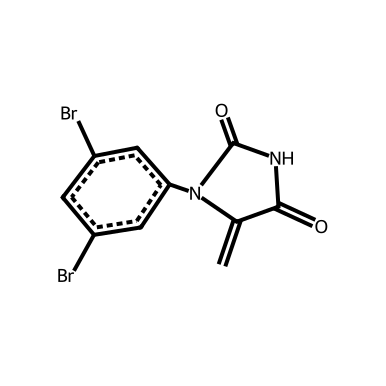 C=C1C(=O)NC(=O)N1c1cc(Br)cc(Br)c1